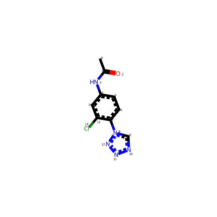 CC(=O)Nc1ccc(-n2cnnn2)c(Cl)c1